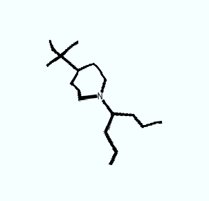 CCCC(CCC)N1CCC(C(C)(C)C)CC1